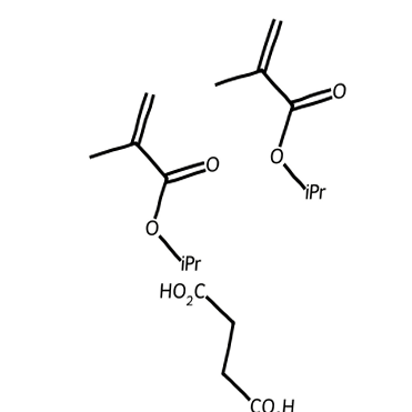 C=C(C)C(=O)OC(C)C.C=C(C)C(=O)OC(C)C.O=C(O)CCC(=O)O